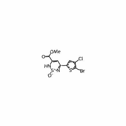 COC(=O)C1=CC(c2cc(Cl)c(Br)s2)=N[S+]([O-])N1